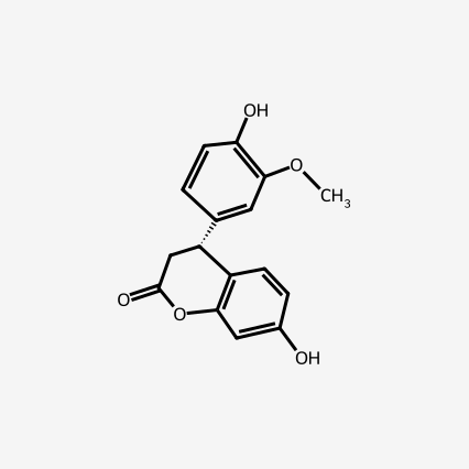 COc1cc([C@H]2CC(=O)Oc3cc(O)ccc32)ccc1O